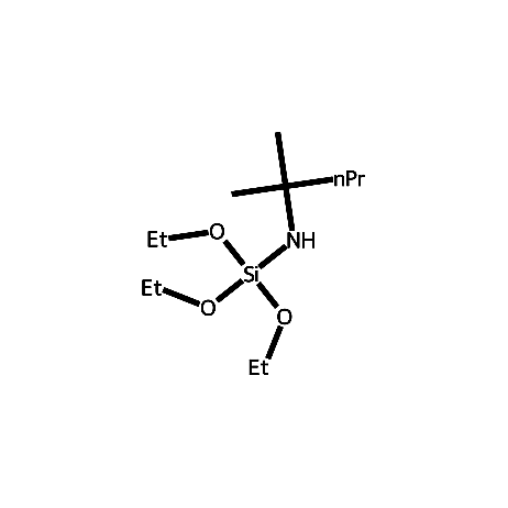 CCCC(C)(C)N[Si](OCC)(OCC)OCC